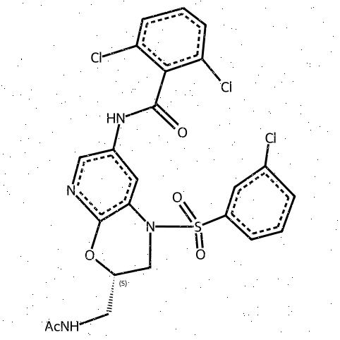 CC(=O)NC[C@H]1CN(S(=O)(=O)c2cccc(Cl)c2)c2cc(NC(=O)c3c(Cl)cccc3Cl)cnc2O1